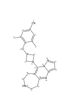 Cc1cc(C#N)cc(C)c1OC1CN(c2c3c(nc4ccnn24)CCNCC3)C1